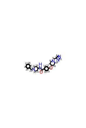 Cn1cncc1CN1CCC(Oc2ccc(C(=O)NC3CCN(Cc4ccccc4)CC3)cc2)CC1